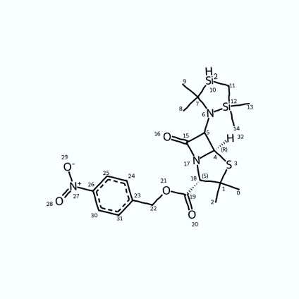 CC1(C)S[C@@H]2C(N3C(C)(C)[SiH2]C[Si]3(C)C)C(=O)N2[C@H]1C(=O)OCc1ccc([N+](=O)[O-])cc1